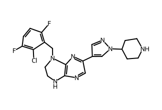 Fc1ccc(F)c(CN2CCNc3ncc(-c4cnn(C5CCNCC5)c4)nc32)c1Cl